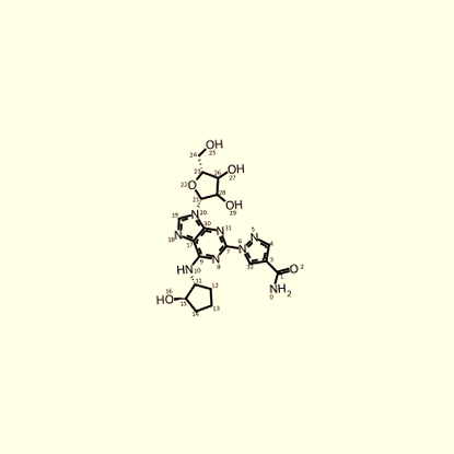 NC(=O)c1cnn(-c2nc(N[C@@H]3CCC[C@H]3O)c3ncn([C@@H]4O[C@H](CO)C(O)C4O)c3n2)c1